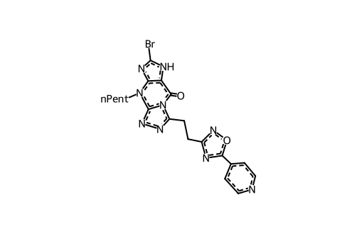 CCCCCn1c2nc(Br)[nH]c2c(=O)n2c(CCc3noc(-c4ccncc4)n3)nnc12